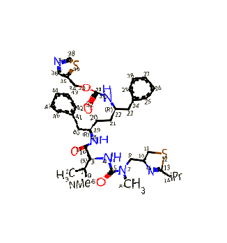 CNC(C)[C@H](NC(=O)N(C)CC1CSC(C(C)C)=N1)C(=O)N[C@H](CC[C@H](Cc1ccccc1)NC(=O)OCc1cncs1)Cc1ccccc1